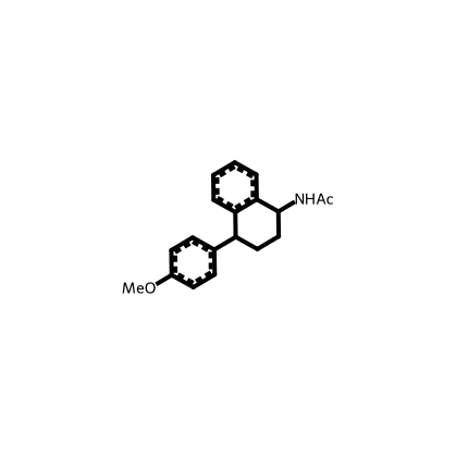 COc1ccc(C2CCC(NC(C)=O)c3ccccc32)cc1